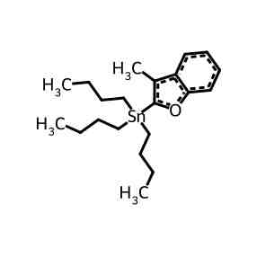 CCC[CH2][Sn]([CH2]CCC)([CH2]CCC)[c]1oc2ccccc2c1C